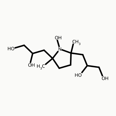 CC1(CC(O)CO)CCC(C)(CC(O)CO)N1O